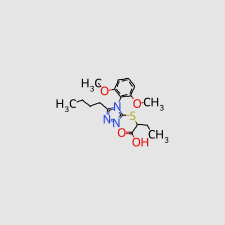 CCCCc1nnc(SC(CC)C(=O)O)n1-c1c(OC)cccc1OC